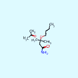 CC(C)=O.CCCCOC(C)(C)CC(N)=O